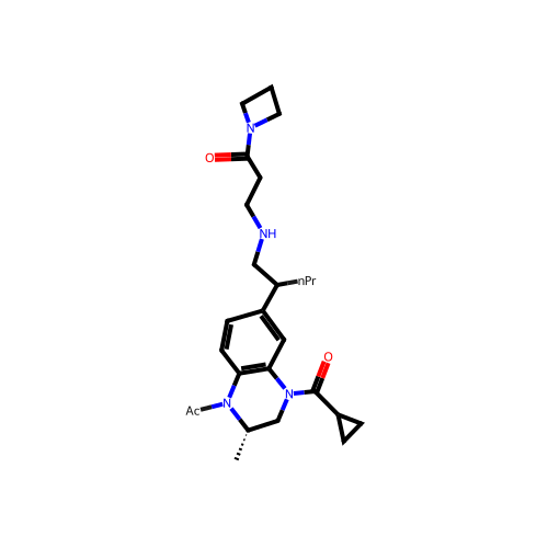 CCCC(CNCCC(=O)N1CCC1)c1ccc2c(c1)N(C(=O)C1CC1)C[C@H](C)N2C(C)=O